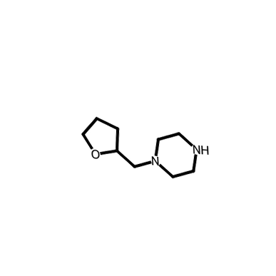 C1COC(CN2CCNCC2)C1